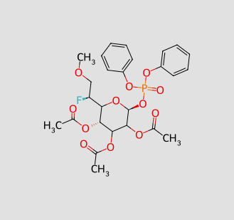 COC[C@H](F)C1O[C@@H](OP(=O)(Oc2ccccc2)Oc2ccccc2)C(OC(C)=O)C(OC(C)=O)[C@@H]1OC(C)=O